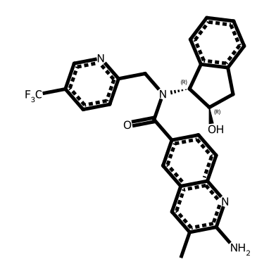 Cc1cc2cc(C(=O)N(Cc3ccc(C(F)(F)F)cn3)[C@@H]3c4ccccc4C[C@H]3O)ccc2nc1N